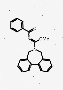 CO/C(=N\C(=O)c1ccccc1)N1Cc2ccccc2-c2ccccc2C1